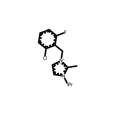 Cc1n(C(C)C)cc[n+]1Cc1c(F)cccc1Cl